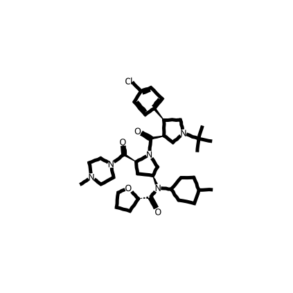 CC1CCC(N(C(=O)[C@@H]2CCCO2)[C@H]2C[C@@H](C(=O)N3CCN(C)CC3)N(C(=O)[C@@H]3CN(C(C)(C)C)C[C@@H]3c3ccc(Cl)cc3)C2)CC1